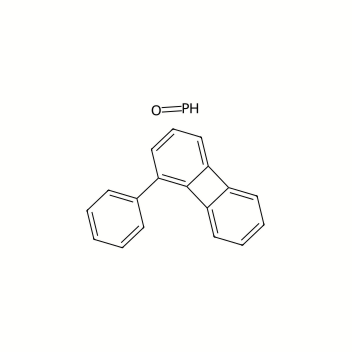 O=P.c1ccc(-c2cccc3c2-c2ccccc2-3)cc1